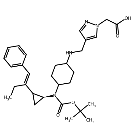 CCC(=Cc1ccccc1)C1C[C@@H]1N(C(=O)OC(C)(C)C)C1CCC(NCc2cnn(CC(=O)O)c2)CC1